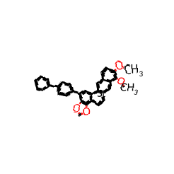 COc1ccc2cc3c4cc(-c5ccc(-c6ccccc6)cc5)c5c(c4cc[si]3cc2c1OC)OCO5